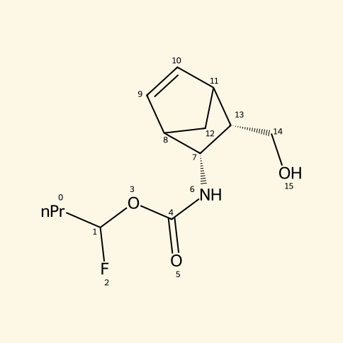 CCCC(F)OC(=O)N[C@@H]1C2C=CC(C2)[C@@H]1CO